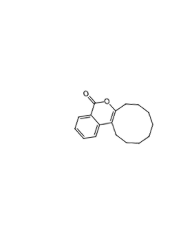 O=c1oc2c(c3ccccc13)CCCCCCCC2